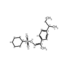 CCC(C)c1ccc(/C(C)=N\OS(=O)(=O)C2CCCCC2)cc1